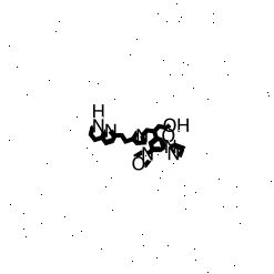 O=C(O)CC(CN1CCC(CCc2ccc3c(n2)NCCC3)C1)c1cc(N2CCOCC2)cc(-n2cccn2)c1